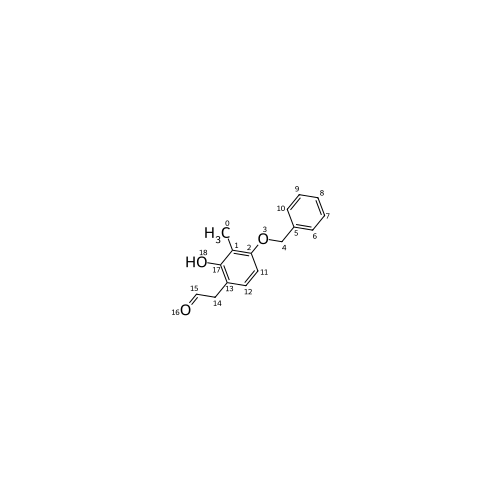 Cc1c(OCc2ccccc2)ccc(CC=O)c1O